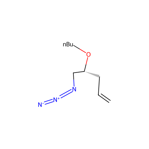 C=CC[C@H](CN=[N+]=[N-])OCCCC